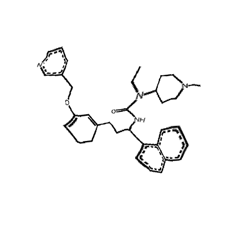 CCN(C(=O)NC(CCC1=CC(OCc2cccnc2)=CCC1)c1cccc2ccccc12)C1CCN(C)CC1